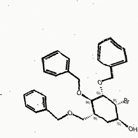 O[C@H]1C[C@H](COCc2ccccc2)[C@@H](OCc2ccccc2)[C@H](OCc2ccccc2)[C@@H]1Br